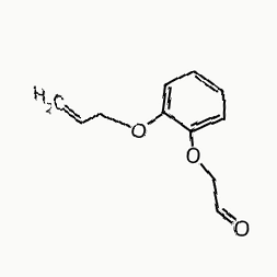 C=CCOc1ccccc1OCC=O